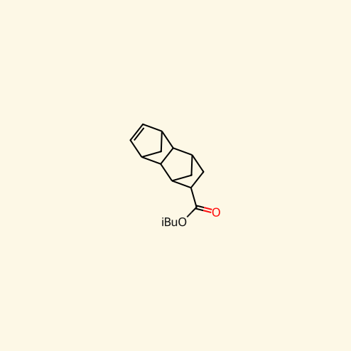 CC(C)COC(=O)C1CC2CC1C1C3C=CC(C3)C21